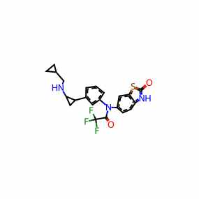 O=C(N(c1cccc(C2CC2NCC2CC2)c1)c1ccc2[nH]c(=O)sc2c1)C(F)(F)F